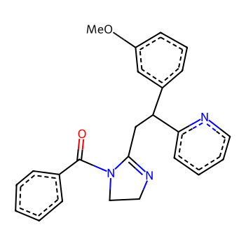 COc1cccc(C(CC2=NCCN2C(=O)c2ccccc2)c2ccccn2)c1